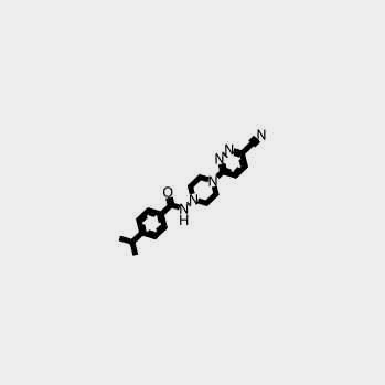 CC(C)c1ccc(C(=O)NN2CCN(c3ccc(C#N)nn3)CC2)cc1